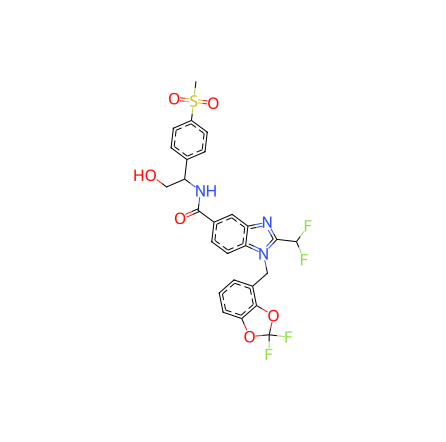 CS(=O)(=O)c1ccc(C(CO)NC(=O)c2ccc3c(c2)nc(C(F)F)n3Cc2cccc3c2OC(F)(F)O3)cc1